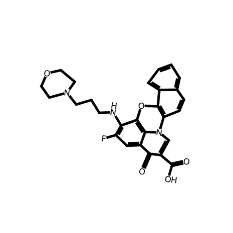 O=C(O)c1cn2c3c(c(NCCCN4CCOCC4)c(F)cc3c1=O)Oc1c-2ccc2ccccc12